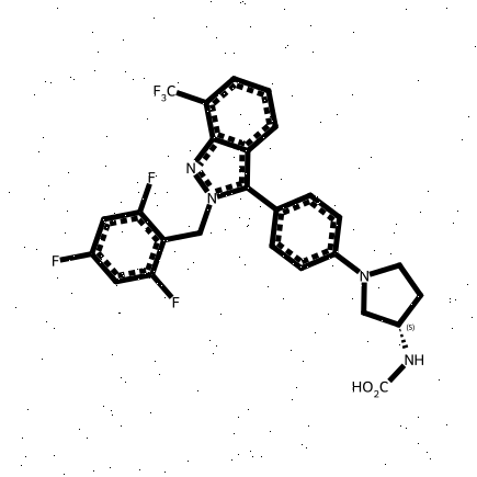 O=C(O)N[C@H]1CCN(c2ccc(-c3c4cccc(C(F)(F)F)c4nn3Cc3c(F)cc(F)cc3F)cc2)C1